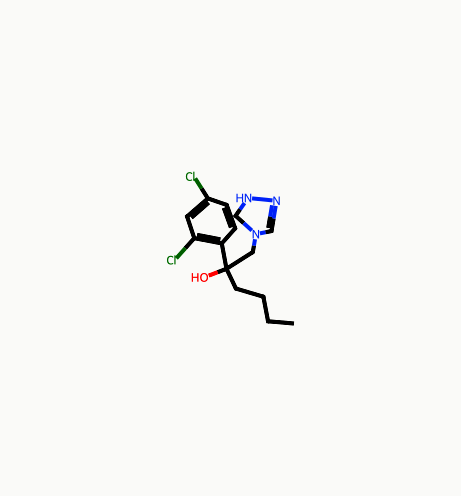 CCCCC(O)(CN1C=NNC1)c1ccc(Cl)cc1Cl